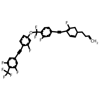 C=CCCC1C=CC(C#Cc2ccc(C(F)(F)Oc3ccc(C#Cc4cc(F)c(C(F)(F)F)c(F)c4)c(F)c3)c(F)c2)=C(F)C1